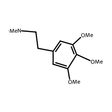 C[N]CCc1cc(OC)c(OC)c(OC)c1